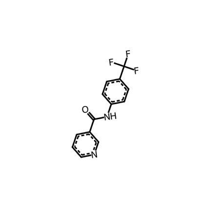 O=C(Nc1ccc(C(F)(F)F)cc1)c1cccnc1